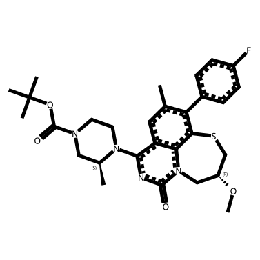 CO[C@H]1CSc2c(-c3ccc(F)cc3)c(C)cc3c(N4CCN(C(=O)OC(C)(C)C)C[C@@H]4C)nc(=O)n(c23)C1